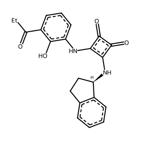 CCC(=O)c1cccc(Nc2c(N[C@@H]3CCc4ccccc43)c(=O)c2=O)c1O